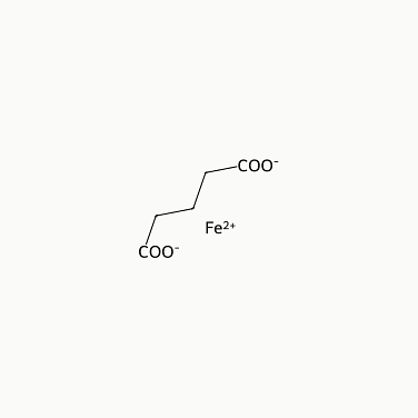 O=C([O-])CCCC(=O)[O-].[Fe+2]